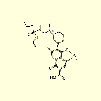 CCOP(=O)(NC/C(F)=C1/CCCN(c2c(F)cc3c(=O)c(C(=O)O)cn(C4CC4)c3c2OC)C1)OCC